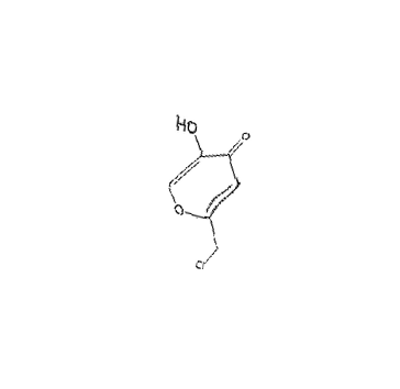 O=c1cc(CCl)occ1O